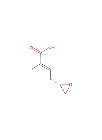 C/C(=C\C[C@H]1CO1)C(=O)O